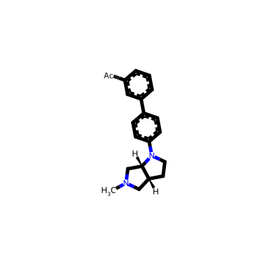 CC(=O)c1cccc(-c2ccc(N3CC[C@@H]4CN(C)C[C@@H]43)cc2)c1